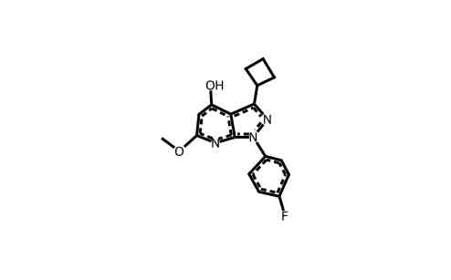 COc1cc(O)c2c(C3CCC3)nn(-c3ccc(F)cc3)c2n1